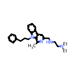 CCN(CC)CCNCc1cc2c3ccccc3n(CCCc3ccccc3)c2c(C)n1